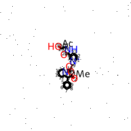 COC(=O)C(c1ccccc1)C1CCCCN1C(=O)OC[n+]1cccc(C(=O)NC(CO)C(C)=O)c1